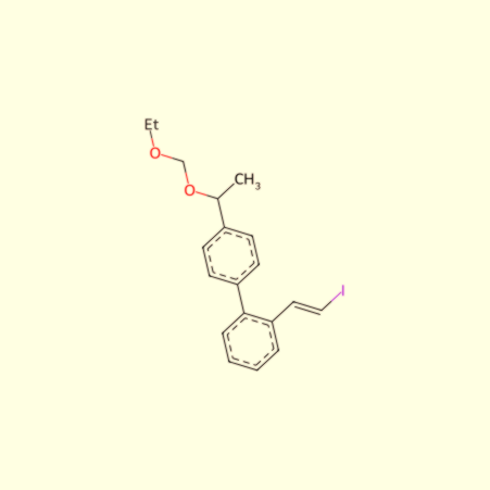 CCOCOC(C)c1ccc(-c2ccccc2/C=C/I)cc1